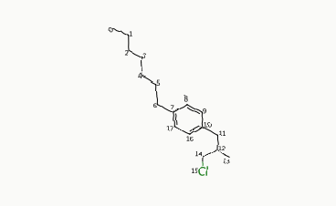 CCCCCCCc1ccc(CC(C)CCl)cc1